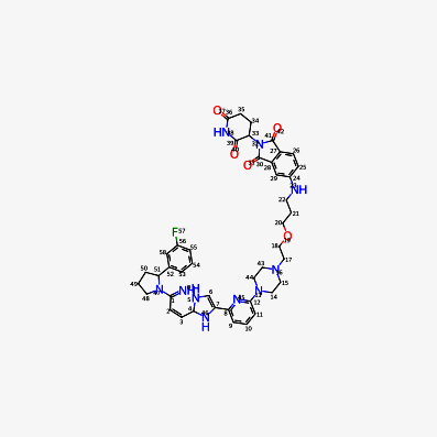 N=C(/C=C\C1NC=C(c2cccc(N3CCN(CCOCCCNc4ccc5c(c4)C(=O)N(C4CCC(=O)NC4=O)C5=O)CC3)n2)N1)N1CCCC1c1cccc(F)c1